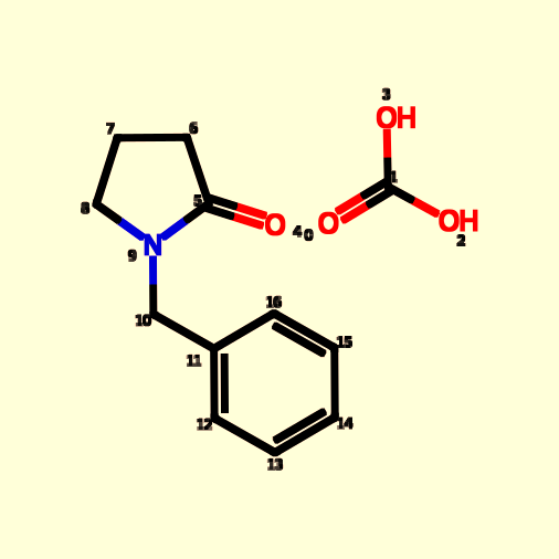 O=C(O)O.O=C1CCCN1Cc1ccccc1